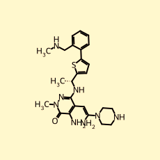 CNCc1ccccc1-c1ccc([C@@H](C)Nc2nn(C)c(=O)c(N)c2/C=C(\N)N2CCNCC2)s1